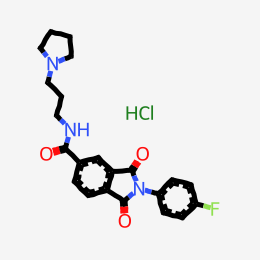 Cl.O=C(NCCCN1CCCC1)c1ccc2c(c1)C(=O)N(c1ccc(F)cc1)C2=O